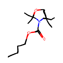 CCCCOC(=O)N1C(C)(C)COC1(C)C